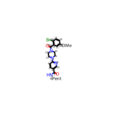 CCCC(C)NC(=O)c1ccc(N2CCN(C(=O)c3cc(OC)ccc3Br)CC2)nc1